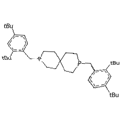 CC(C)(C)c1ccc(CP2CCC3(CC2)CCP(Cc2ccc(C(C)(C)C)cc2C(C)(C)C)CC3)c(C(C)(C)C)c1